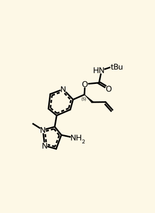 C=CC[C@H](OC(=O)NC(C)(C)C)c1cc(-c2c(N)cnn2C)ccn1